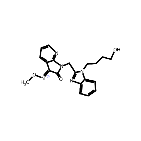 CO/N=C1/C(=O)N(Cc2nc3ccccc3n2CCCCO)c2ncccc21